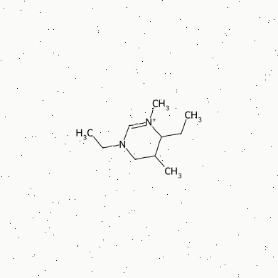 CCC1C(C)CN(CC)C=[N+]1C